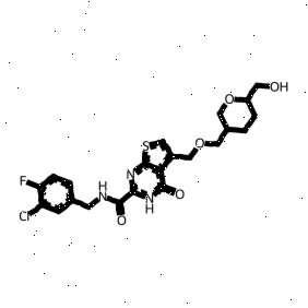 O=C(NCc1ccc(F)c(Cl)c1)c1nc2scc(COCC3CCC(CO)OC3)c2c(=O)[nH]1